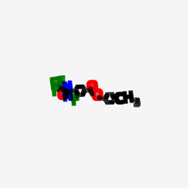 Cc1ccc(COCC(=O)c2ccc(-c3noc(C(F)(F)F)n3)c(F)c2)cc1